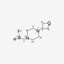 FB(F)CN1CCN(C2COC2)CC1